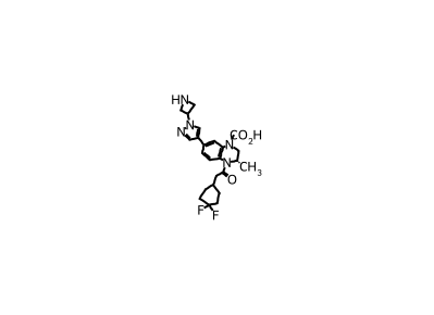 C[C@H]1CN(C(=O)O)c2cc(-c3cnn(C4CNC4)c3)ccc2N1C(=O)CC1CCC(F)(F)CC1